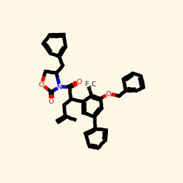 C=C(C)CC(C(=O)N1C(=O)OCC1Cc1ccccc1)c1cc(-c2ccccc2)cc(OCc2ccccc2)c1C(F)(F)F